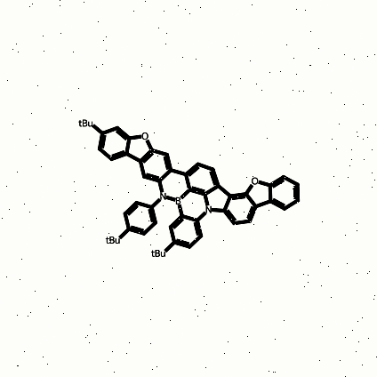 CC(C)(C)c1ccc(N2B3c4cc(C(C)(C)C)ccc4-n4c5ccc6c7ccccc7oc6c5c5ccc(c3c54)-c3cc4oc5cc(C(C)(C)C)ccc5c4cc32)cc1